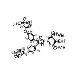 COc1cc(-c2nc(-c3ccc(OC(=O)CP(=O)(O)O)cc3)c(-c3ccc(OC(=O)CP(=O)(O)O)cc3)[nH]2)cc(OC)c1O